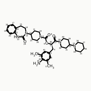 Cc1cc(C[C@@H](OC(=O)N2CCC(N3CCc4ccccc4NC3=O)CC2)C(=O)N2CCC(N3CCCCC3)CC2)cc(C)c1N